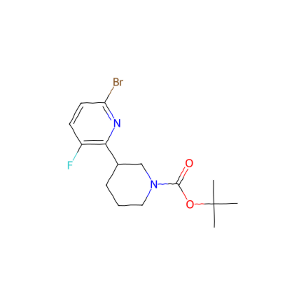 CC(C)(C)OC(=O)N1CCCC(c2nc(Br)ccc2F)C1